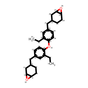 CCc1cc(CC2CCC3OC3C2)ccc1Oc1ccc(CC2CCC3OC3C2)cc1CC